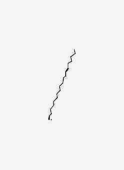 [CH]=CCCCCCCCCCCCC=CCCCCC